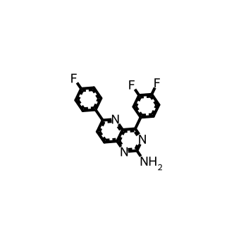 Nc1nc(-c2ccc(F)c(F)c2)c2nc(-c3ccc(F)cc3)ccc2n1